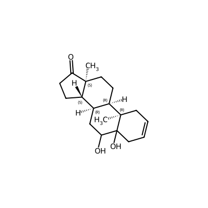 C[C@]12CC[C@@H]3[C@@H](CC(O)C4(O)CC=CC[C@]34C)[C@@H]1CCC2=O